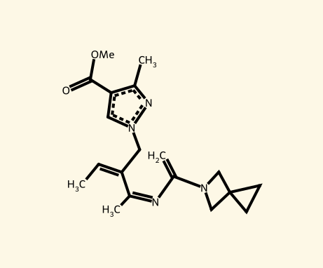 C=C(/N=C(C)\C(=C/C)Cn1cc(C(=O)OC)c(C)n1)N1CC2(CC2)C1